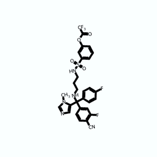 Cn1cncc1C(NCCCNS(=O)(=O)c1cccc(OC(=O)C(F)(F)F)c1)(c1ccc(F)cc1)c1ccc(C#N)c(F)c1